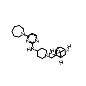 CC1(C)[C@H]2CC=C(CN3CCC(Nc4nccc(N5CCCCCC5)n4)CC3)[C@@H]1C2